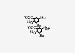 CCOc1c(C(=O)[O-])cc(C(C)(C)C)cc1C(C)(C)C.CCOc1c(C(=O)[O-])cc(C(C)(C)C)cc1C(C)(C)C.[Zn+2]